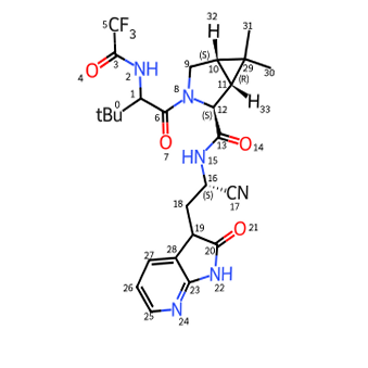 CC(C)(C)C(NC(=O)C(F)(F)F)C(=O)N1C[C@H]2[C@@H]([C@H]1C(=O)N[C@H](C#N)CC1C(=O)Nc3ncccc31)C2(C)C